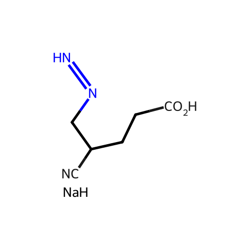 N#CC(CCC(=O)O)CN=N.[NaH]